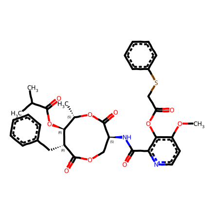 COc1ccnc(C(=O)N[C@H]2COC(=O)[C@H](Cc3ccccc3)[C@@H](OC(=O)C(C)C)[C@H](C)OC2=O)c1OC(=O)CSc1ccccc1